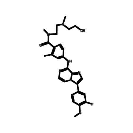 COc1ccc(-c2cnc3c(Nc4ccc(C(=O)N(C)CCN(C)CCO)c(C)c4)nccn23)cc1F